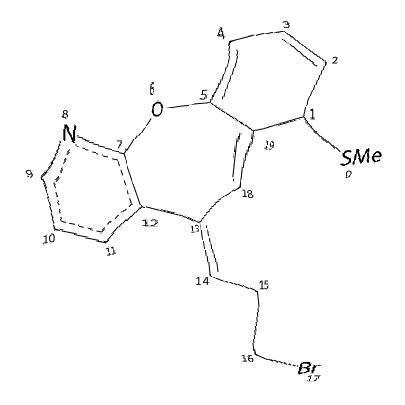 CSC1C=CC=C2Oc3ncccc3C(=CCCBr)C=C21